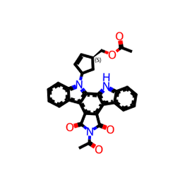 CC(=O)OC[C@@H]1C=CC(n2c3ccccc3c3c4c(c5c6ccccc6[nH]c5c32)C(=O)N(C(C)=O)C4=O)C1